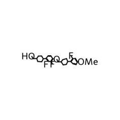 COc1ccc(C2CCC(COc3ccc(C4CCC(CO)CC4)c(F)c3F)CC2)c(F)c1